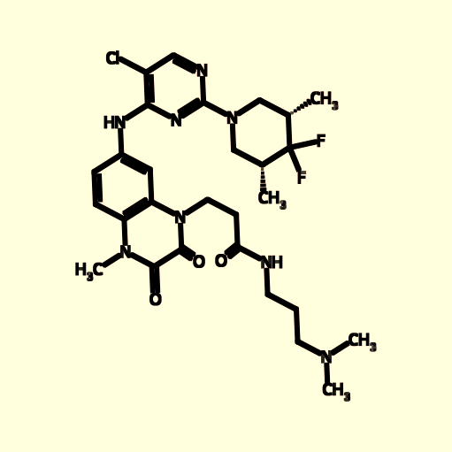 C[C@@H]1CN(c2ncc(Cl)c(Nc3ccc4c(c3)n(CCC(=O)NCCCN(C)C)c(=O)c(=O)n4C)n2)C[C@H](C)C1(F)F